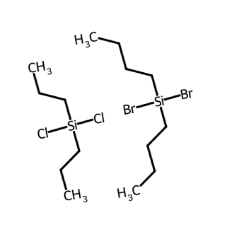 CCCC[Si](Br)(Br)CCCC.CCC[Si](Cl)(Cl)CCC